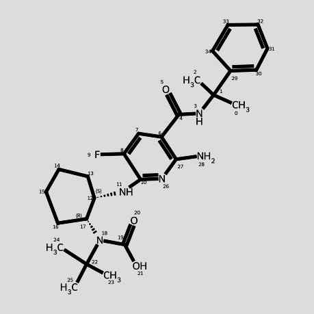 CC(C)(NC(=O)c1cc(F)c(N[C@H]2CCCC[C@H]2N(C(=O)O)C(C)(C)C)nc1N)c1ccccc1